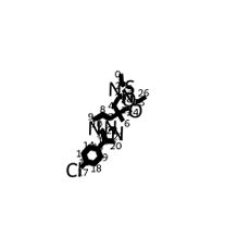 Cc1nc(CC(C)(c2ccnc3c(-c4ccc(Cl)cc4)cnn23)C2OC(C)O2)ns1